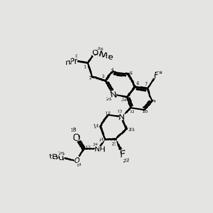 CCCC(Cc1ccc2c(F)ccc(N3CC[C@H](NC(=O)OC(C)(C)C)[C@H](F)C3)c2n1)OC